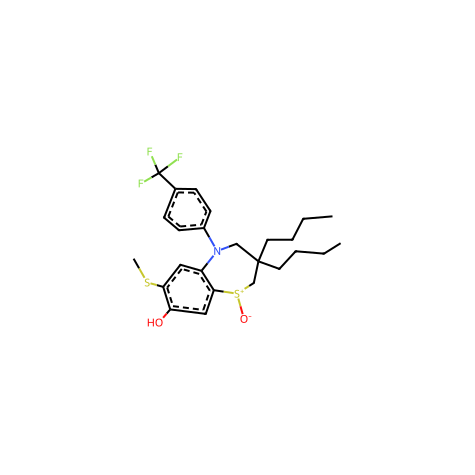 CCCCC1(CCCC)CN(c2ccc(C(F)(F)F)cc2)c2cc(SC)c(O)cc2[S+]([O-])C1